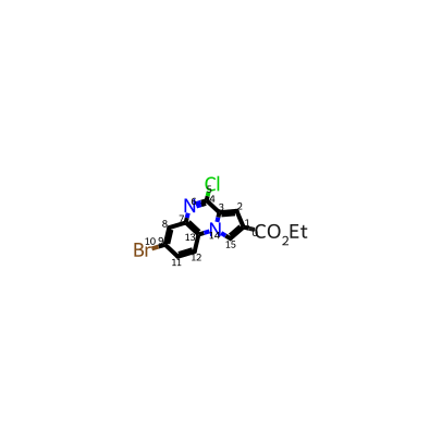 CCOC(=O)c1cc2c(Cl)nc3cc(Br)ccc3n2c1